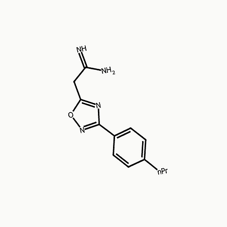 CCCc1ccc(-c2noc(CC(=N)N)n2)cc1